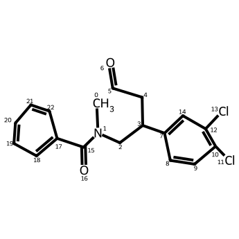 CN(CC(CC=O)c1ccc(Cl)c(Cl)c1)C(=O)c1ccccc1